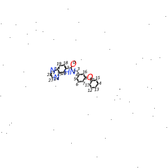 O=C(NCc1cccc(Oc2ccccc2)c1)c1ccc2nccnc2c1